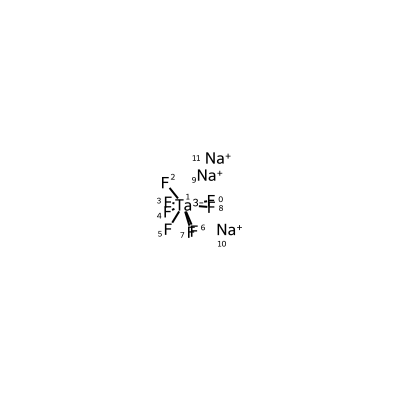 [F][Ta-3]([F])([F])([F])([F])([F])([F])[F].[Na+].[Na+].[Na+]